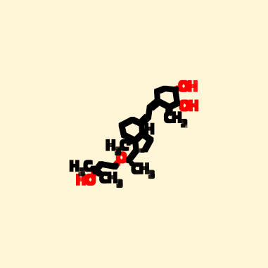 C=C1/C(=C\C=C2/CCC[C@]3(C)[C@@H]([C@H](C)OCCC(C)(C)O)CC[C@@H]23)CCC(O)[C@H]1O